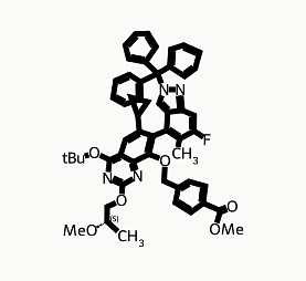 COC(=O)c1ccc(COc2c(-c3c(C)c(F)cc4nn(C(c5ccccc5)(c5ccccc5)c5ccccc5)cc34)c(C3CC3)cc3c(OC(C)(C)C)nc(OC[C@H](C)OC)nc23)cc1